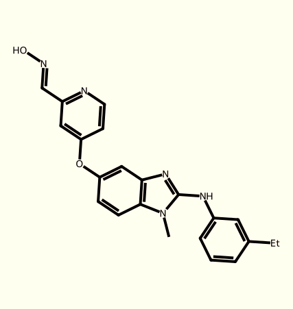 CCc1cccc(Nc2nc3cc(Oc4ccnc(C=NO)c4)ccc3n2C)c1